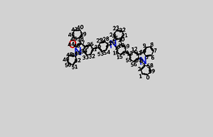 c1ccc(-n2c3ccccc3c3cc(-c4ccc5c(c4)c4ccccc4n5-c4ccc(-c5ccc6c(c5)c5c7ccccc7oc5n6-c5ccccc5)cc4)ccc32)cc1